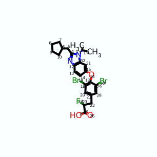 CC(C)n1c(CC2CCCC2)nc2ccc(Oc3c(Br)cc(CC(F)C(=O)O)cc3Br)cc21